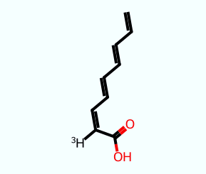 [3H]C(=CC=CC=CC=C)C(=O)O